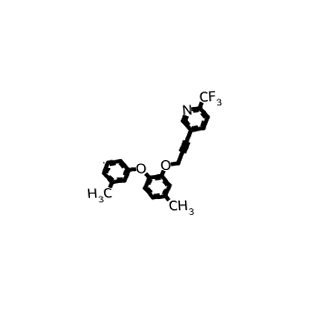 Cc1c[c]cc(Oc2ccc(C)cc2OCC#Cc2ccc(C(F)(F)F)nc2)c1